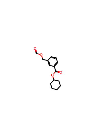 O=COCc1cccc(C(=O)OC2CCCCC2)c1